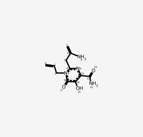 C=CCn1c(CC(=C)N)nc(C(N)=O)c(O)c1=O